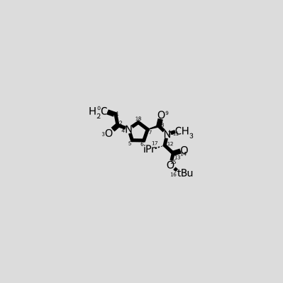 C=CC(=O)N1CC[C@H](C(=O)N(C)[C@H](C(=O)OC(C)(C)C)C(C)C)C1